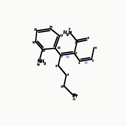 C=C(N)C(/C=C\C)=C(/CCCC(C)C)c1ccccc1N